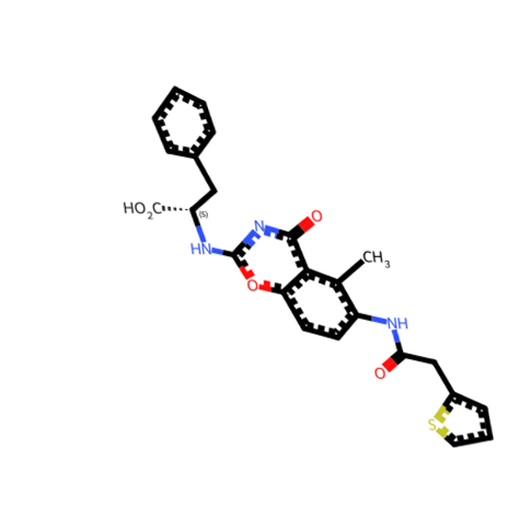 Cc1c(NC(=O)Cc2cccs2)ccc2oc(N[C@@H](Cc3ccccc3)C(=O)O)nc(=O)c12